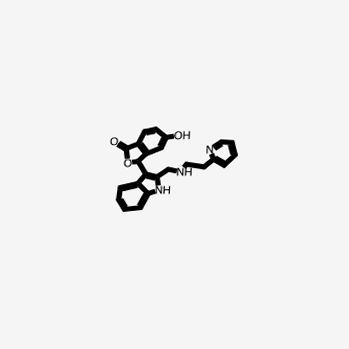 O=C1OC(c2c(CNCCc3ccccn3)[nH]c3ccccc23)c2cc(O)ccc21